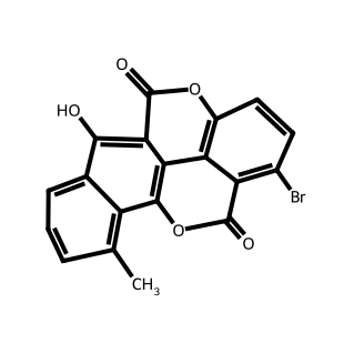 Cc1cccc2c(O)c3c(=O)oc4ccc(Br)c5c(=O)oc(c12)c3c45